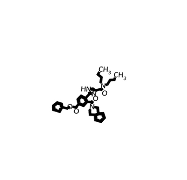 CCCCN(CCCC)C(=O)c1c[nH]c(-c2ccc(C(=O)OCc3ccccc3)cc2C(=O)N2CCc3ccccc3C2)n1